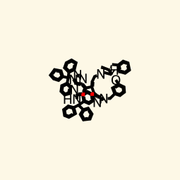 C1=C(/c2cc(NC(c3ccccc3)(c3ccccc3)c3ccccc3)nc3c2nnn3C(c2ccccc2)(c2ccccc2)c2ccccc2)c2cnn(c2)Cc2cccc(c2)O[C@@H]2CN(C/1)C[C@@H]2Cc1ccccc1